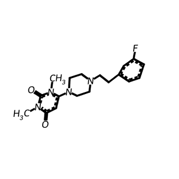 Cn1c(N2CCN(CCc3cccc(F)c3)CC2)cc(=O)n(C)c1=O